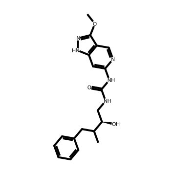 COc1n[nH]c2cc(NC(=O)NC[C@@H](O)C(C)Cc3ccccc3)ncc12